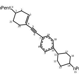 CCCCCC1CC=C(C#Cc2ccc(C3CCC(CCC)CC3)cc2)CC1